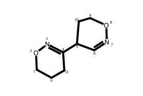 [CH]1CON=C(C2C=NOCC2)C1